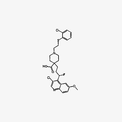 COc1ccc2ncc(Cl)c(C(F)CCC3(C(=O)O)CCN(CCSc4ccccc4Cl)CC3)c2c1